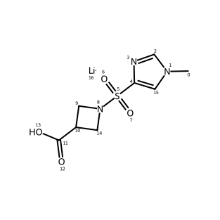 Cn1cnc(S(=O)(=O)N2CC(C(=O)O)C2)c1.[Li]